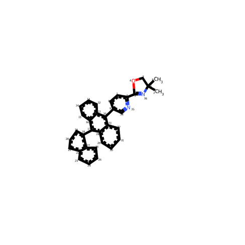 CC1(C)COC(c2ccc(-c3c4ccccc4c(-c4cccc5ccccc45)c4ccccc34)cn2)=N1